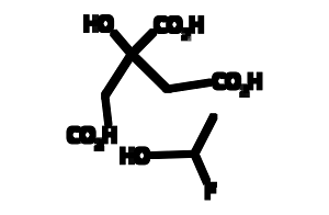 CC(O)F.O=C(O)CC(O)(CC(=O)O)C(=O)O